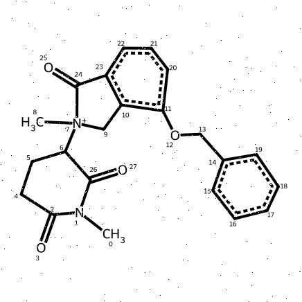 CN1C(=O)CCC([N+]2(C)Cc3c(OCc4ccccc4)cccc3C2=O)C1=O